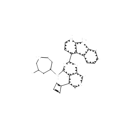 FC1CNCCC(Nc2nc(-c3ccnc4[nH]c5ccccc5c34)nc3cncc(C4=CC=C4)c23)C1